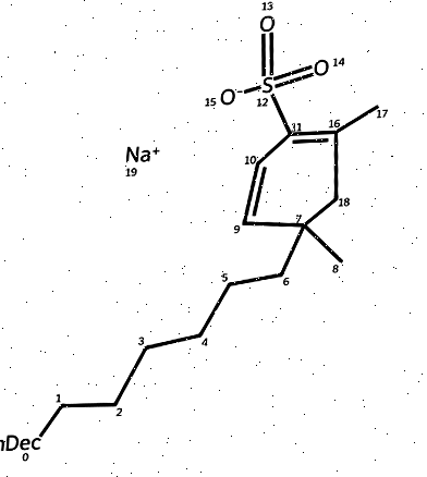 CCCCCCCCCCCCCCCCC1(C)C=CC(S(=O)(=O)[O-])=C(C)C1.[Na+]